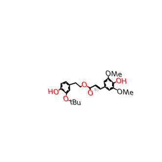 COc1cc(/C=C/C(=O)OCCc2ccc(O)c(OC(C)(C)C)c2)cc(OC)c1O